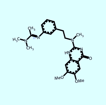 COc1cc2[nH]c(N(C)CCc3cccc(/N=C(\C)N(C)C)c3)nc(=O)c2cc1OC